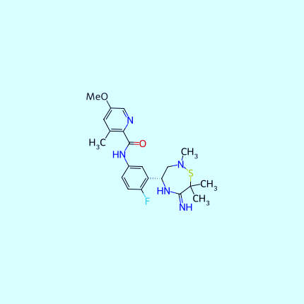 COc1cnc(C(=O)Nc2ccc(F)c([C@@H]3CN(C)SC(C)(C)C(=N)N3)c2)c(C)c1